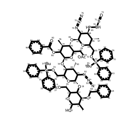 CC(=O)OCC1OC(O)C(C)[C@H](OCc2ccccc2)C1O[C@@H]1OC(CO[Si](c2ccccc2)(c2ccccc2)C(C)(C)C)[C@@H](O[C@@H]2OC(COC(C)=O)[C@@H](O[C@@H]3OC(CO[Si](c4ccccc4)(c4ccccc4)C(C)(C)C)[C@@H](C)[C@H](PBB=O)C3N=[N+]=[N-])[C@H](C)C2OC(=O)c2ccccc2)[C@H](C)C1N=[N+]=[N-]